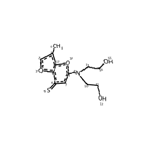 Cc1coc2c(=S)cc(N(CCO)CCO)oc12